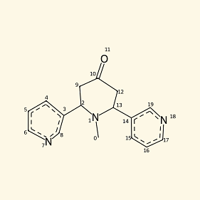 CN1C(c2cccnc2)CC(=O)CC1c1cccnc1